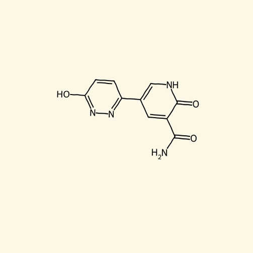 NC(=O)c1cc(-c2ccc(O)nn2)c[nH]c1=O